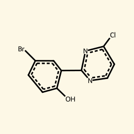 Oc1ccc(Br)cc1-c1nccc(Cl)n1